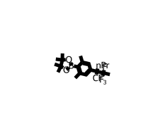 CCCC(c1cc(C)c(B2OC(C)(C)C(C)(C)O2)c(C)c1)(C(C)(F)F)C(F)(F)F